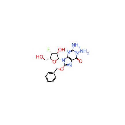 Nc1nc2c(nc(OCc3ccccc3)n2[C@@H]2O[C@H](CO)[C@H](F)[C@H]2O)c(=O)n1N